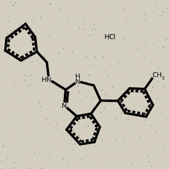 Cc1cccc(C2CNC(NCc3ccccc3)=Nc3ccccc32)c1.Cl